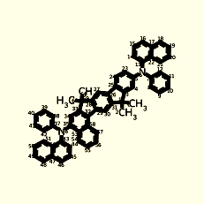 CC1(C)c2cc(N(c3ccccc3)c3cccc4ccccc34)ccc2-c2cc3c(cc21)-c1c(cc(N(c2ccccc2)c2cccc4ccccc24)c2ccccc12)C3(C)C